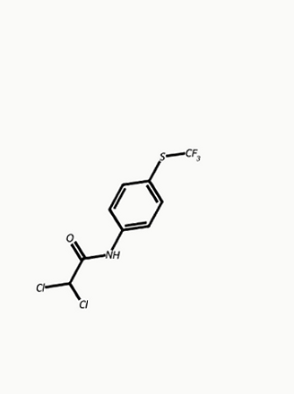 O=C(Nc1ccc(SC(F)(F)F)cc1)C(Cl)Cl